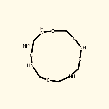 C1CNCCNCCCNCCNC1.[Ni+2]